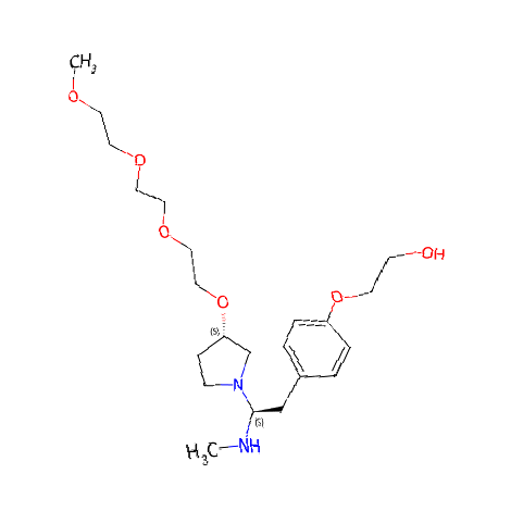 CN[C@H](Cc1ccc(OCCO)cc1)N1CC[C@H](OCCOCCOCCOC)C1